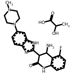 CC(O)C(=O)O.CN1CCN(c2ccc3nc(C4C(=O)Nc5cccc(F)c5C4N)[nH]c3c2)CC1